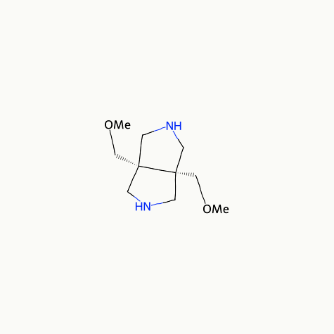 COC[C@]12CNC[C@@]1(COC)CNC2